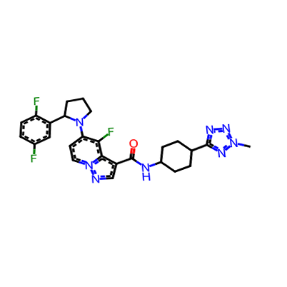 Cn1nnc(C2CCC(NC(=O)c3cnn4ccc(N5CCCC5c5cc(F)ccc5F)c(F)c34)CC2)n1